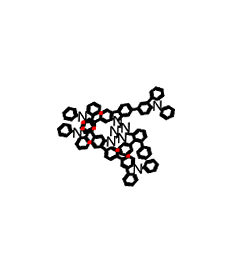 c1ccc(-c2cccc(-c3nc(-n4c5cc(-c6ccc7c(c6)c6ccccc6n7-c6ccccc6)ccc5c5ccc(-c6ccc7c(c6)c6ccccc6n7-c6ccccc6)cc54)nc(-n4c5cc(-c6ccc7c(c6)c6ccccc6n7-c6ccccc6)ccc5c5ccc(-c6ccc7c(c6)c6ccccc6n7-c6ccccc6)cc54)n3)c2-c2ccccc2)cc1